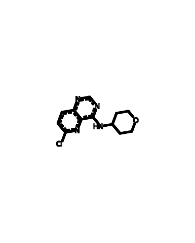 Clc1ccc2ncnc(NC3CCOCC3)c2n1